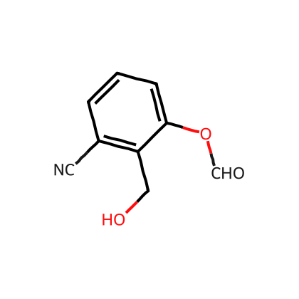 N#Cc1cccc(OC=O)c1CO